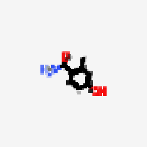 Cc1cc(O)ccc1C(N)=O